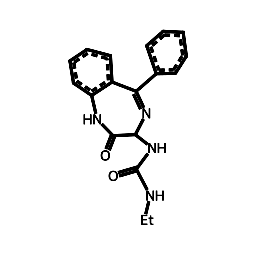 CCNC(=O)NC1N=C(c2ccccc2)c2ccccc2NC1=O